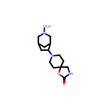 O=C1NCC2(CCN(C3CC4CC3CN(C(=O)O)C4)CC2)O1